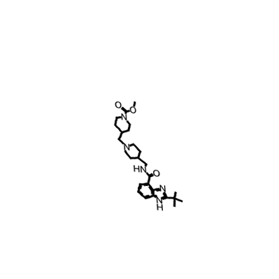 COC(=O)N1CCC(CN2CCC(CNC(=O)c3cccc4[nH]c(C(C)(C)C)nc34)CC2)CC1